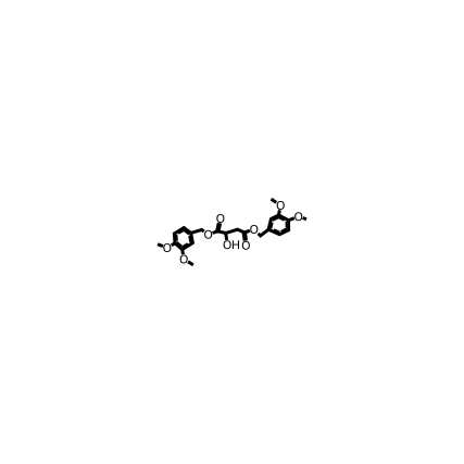 COc1ccc(COC(=O)CC(O)C(=O)OCc2ccc(OC)c(OC)c2)cc1OC